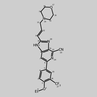 CCOc1ccc(-c2cc3[nH]c(C=CCN4CCOCC4)nc3c(C#N)n2)cc1C(F)(F)F